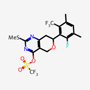 CSc1nc2c(c(OS(=O)(=O)C(F)(F)F)n1)COC(c1c(F)c(C)cc(C)c1C(F)(F)F)C2